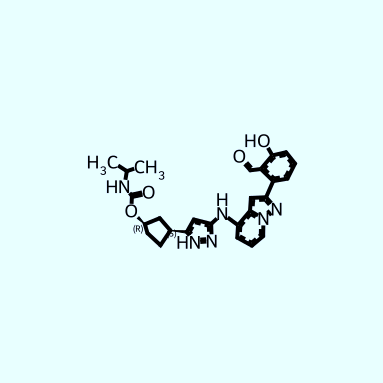 CC(C)NC(=O)O[C@@H]1CC[C@H](c2cc(Nc3cccn4nc(-c5cccc(O)c5C=O)cc34)n[nH]2)C1